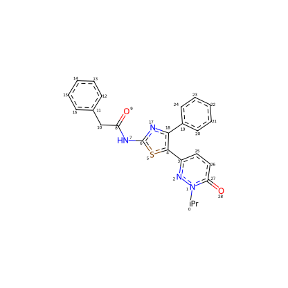 CC(C)n1nc(-c2sc(NC(=O)Cc3ccccc3)nc2-c2ccccc2)ccc1=O